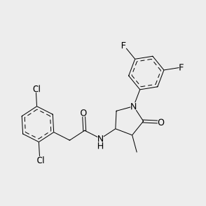 CC1C(=O)N(c2cc(F)cc(F)c2)CC1NC(=O)Cc1cc(Cl)ccc1Cl